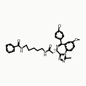 COc1ccc2c(c1)C(c1ccc(Cl)cc1)=N[C@@H](CC(=O)NCCCCCNC(=O)c1ccccc1)c1nnc(C)n1-2